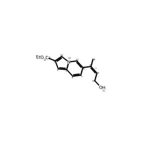 CCOC(=O)c1cc2ccc(/C(C)=C\CO)cn2c1